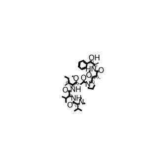 CC[C@H](C)[C@H](NC(=O)[C@@H](NC(=O)[C@H](C(C)C)N(C)C)C(C)C)[C@@H](CC(=O)N1CCC[C@H]1[C@H](OC)[C@@H](C)C(=O)N[C@H](C)[C@@H](O)c1ccccc1)OC